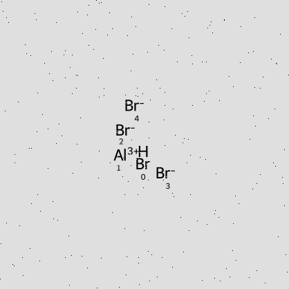 Br.[Al+3].[Br-].[Br-].[Br-]